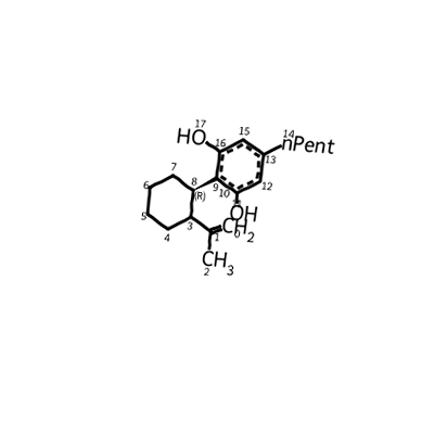 C=C(C)C1CCCC[C@H]1c1c(O)cc(CCCCC)cc1O